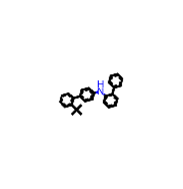 CC(C)(C)c1ccccc1-c1ccc(Nc2ccccc2-c2ccccc2)cc1